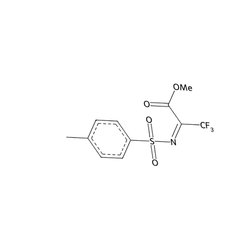 COC(=O)C(=NS(=O)(=O)c1ccc(C)cc1)C(F)(F)F